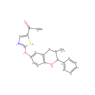 COC(=O)c1cnc(Oc2ccc3c(c2)CC(C)C(c2ccccc2)O3)s1